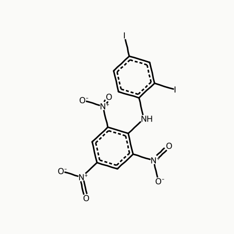 O=[N+]([O-])c1cc([N+](=O)[O-])c(Nc2ccc(I)cc2I)c([N+](=O)[O-])c1